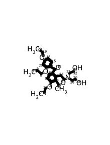 C=CCOc1cc(OCC=C)c(C(=O)c2ccc(OCC)cc2)c(CC(=O)N(CCO)CCO)c1CC